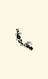 CN(C)CCNC(=O)c1ccc(N2CCN(CCNc3nc(N)n4nc(-c5ccco5)nc4n3)CC2)c(F)c1